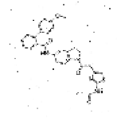 COc1ccc(-c2ccccc2C(=O)Nc2ccc3c(c2)CCN3C(=O)Cc2csc(NC=O)n2)cc1